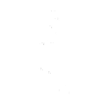 CC(C)c1ccccc1N1C(=O)CSC1=CC(=O)Nc1ccc2c(ccc3c2ncn3-c2ccc(OC(F)(F)F)cc2)c1